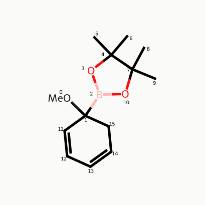 COC1(B2OC(C)(C)C(C)(C)O2)C=CC=CC1